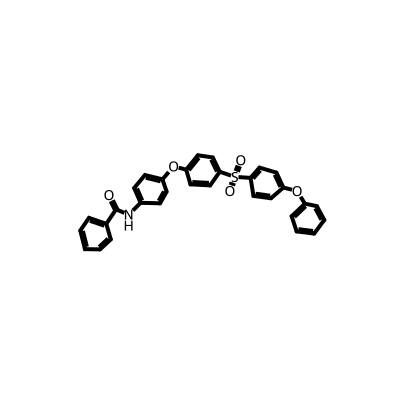 O=C(Nc1ccc(Oc2ccc(S(=O)(=O)c3ccc(Oc4ccccc4)cc3)cc2)cc1)c1ccccc1